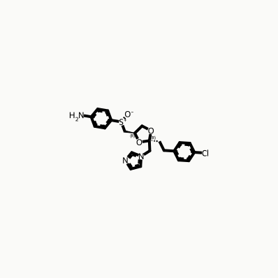 Nc1ccc([S+]([O-])C[C@H]2CO[C@@](CCc3ccc(Cl)cc3)(Cn3ccnc3)O2)cc1